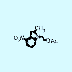 CC(=O)OCCn1c(C)cc2c([N+](=O)[O-])cccc21